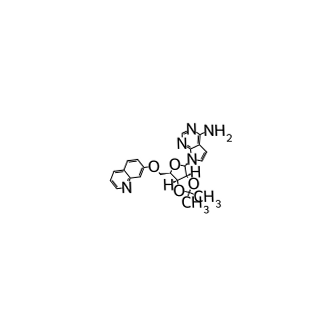 CC1(C)O[C@@H]2[C@H](O1)[C@@H](COc1ccc3cccnc3c1)O[C@H]2n1ccc2c(N)ncnc21